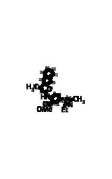 CCc1nc(C)cn1-c1ccc(NC(=O)/C=C(/C)c2ccc3ccccc3c2)c(C(=O)OC)c1